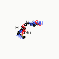 Cc1c(O[C@H]2CC[C@H](CCCN3CCN(c4cccc5c(C6CCC(=O)NC6=O)nn(C)c45)CC3)CC2)cccc1-c1ccc(N2CCc3cccc(C(=O)Nc4nc5ccccc5s4)c3C2)nc1C(=O)OC(C)(C)C